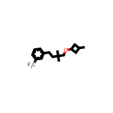 CC1CC(OCC(C)(C)CCc2cccc(C(F)(F)F)c2)C1